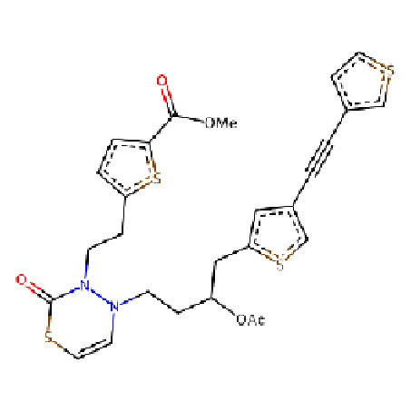 COC(=O)c1ccc(CCN2C(=O)SC=CN2CCC(Cc2cc(C#Cc3ccsc3)cs2)OC(C)=O)s1